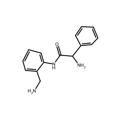 NCc1ccccc1NC(=O)C(N)c1ccccc1